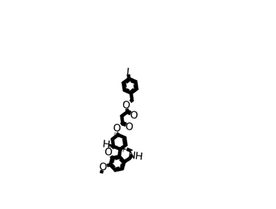 COc1ccc2c3c1O[C@@H]1C[C@H](OC(=O)CC(=O)OCc4ccc(I)cc4)C=C[C@@]31CCNC2